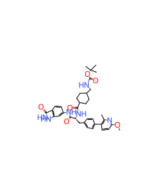 COc1ccc(-c2ccc(C[C@H](NC(=O)C3CCC(CNC(=O)OC(C)(C)C)CC3)C(=O)Nc3ccc4c(=O)[nH][nH]c4c3)cc2)c(C)n1